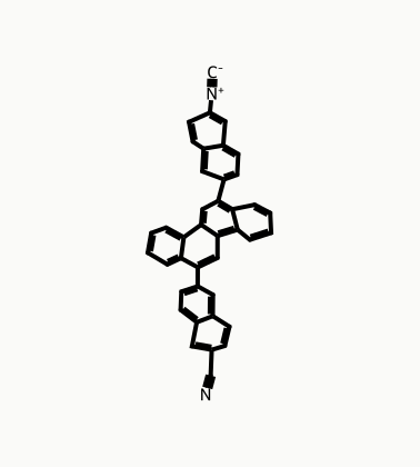 [C-]#[N+]c1ccc2cc(-c3cc4c5ccccc5c(-c5ccc6cc(C#N)ccc6c5)cc4c4ccccc34)ccc2c1